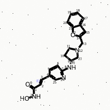 O=C(/C=C/c1ccc(N[C@@H]2CCN(Cc3cc4ccccc4o3)C2)nc1)NO